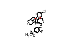 CS(=O)(=O)c1ccc(Oc2ncnc(OC3C4COCC3CN(c3ncc(Cl)cn3)C4)c2F)c(F)c1